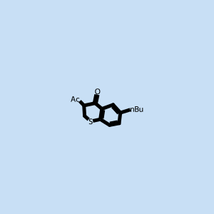 CCCCc1ccc2c(c1)C(=O)C(C(C)=O)CS2